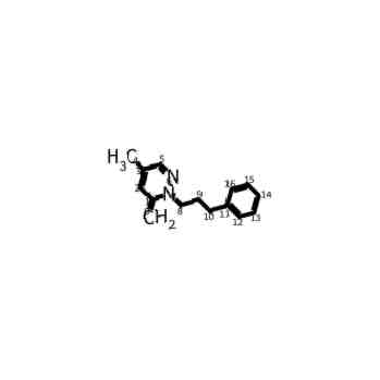 C=C1C=C(C)C=NN1CCCc1ccccc1